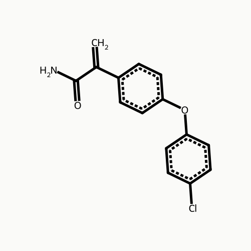 C=C(C(N)=O)c1ccc(Oc2ccc(Cl)cc2)cc1